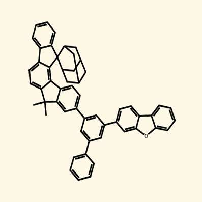 CC1(C)c2cc(-c3cc(-c4ccccc4)cc(-c4ccc5c(c4)oc4ccccc45)c3)ccc2-c2c1ccc1c2C2(c3ccccc3-1)C1CC3CC(C1)CC2C3